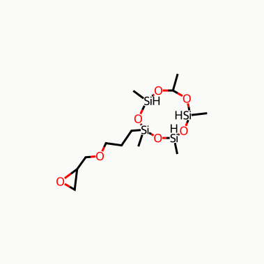 CC1O[SiH](C)O[SiH](C)O[Si](C)(CCCOCC2CO2)O[SiH](C)O1